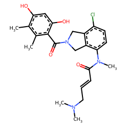 Cc1c(O)cc(O)c(C(=O)N2Cc3c(Cl)ccc(N(C)C(=O)/C=C/CN(C)C)c3C2)c1C